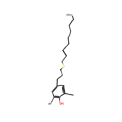 CCCCCCCCCCCCCCCCCCSCCCc1cc(C)c(O)c(C(C)(C)C)c1